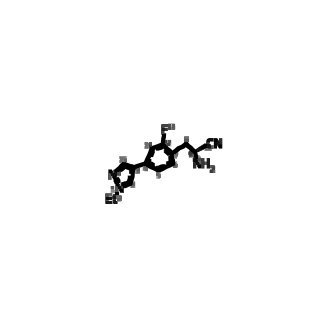 CCn1cc(-c2ccc(C[C@H](N)C#N)c(F)c2)cn1